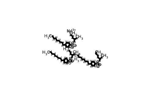 CCCCCCCCCc1ccc(P(=O)([O-])OCC(CC)CCCC)cc1.CCCCCCCCCc1ccc(P(=O)([O-])OCC(CC)CCCC)cc1.CCCCCCCCCc1ccc(P(=O)([O-])OCC(CC)CCCC)cc1.[Nd+3]